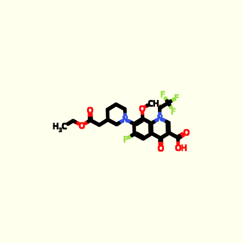 CCOC(=O)CC1CCCN(c2c(F)cc3c(=O)c(C(=O)O)cn(CC(F)(F)F)c3c2OC)C1